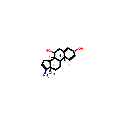 C[C@]12C=C[C@H](O)C=C1C[C@H](O)[C@@H]1[C@@H]2CC[C@]2(C)C(N)=CC[C@@H]12